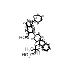 CC(C)(C[C@@H]1c2ccccc2OC12CCN(c1nc3c(cnn3C3CCCCO3)nc1CO)CC2)NC(=O)O